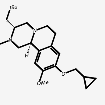 COc1cc2c(cc1OCC1CC1)CCN1C[C@@H](CC(C)(C)C)N(C)C[C@H]21